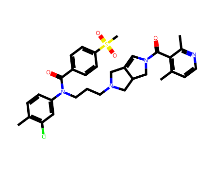 Cc1ccc(N(CCCN2CC3=CN(C(=O)c4c(C)ccnc4C)CC3C2)C(=O)c2ccc(S(C)(=O)=O)cc2)cc1Cl